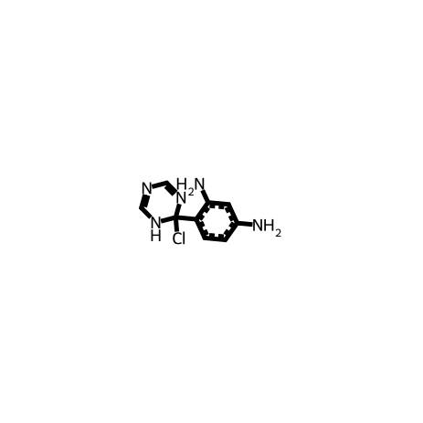 Nc1ccc(C2(Cl)N=CN=CN2)c(N)c1